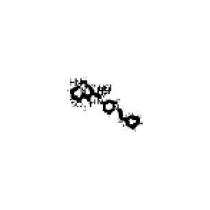 Cl.Cl.O=C(NC1CCN(C=Cc2ccccc2)CC1)C1=CC2CNC3=CC=CC(=C1S(=O)(=O)O)N32